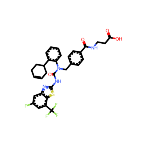 O=C(O)CCNC(=O)c1ccc(CN(C(=O)Nc2nc3cc(F)cc(C(F)(F)F)c3s2)c2ccccc2C2CC=CCC2)cc1